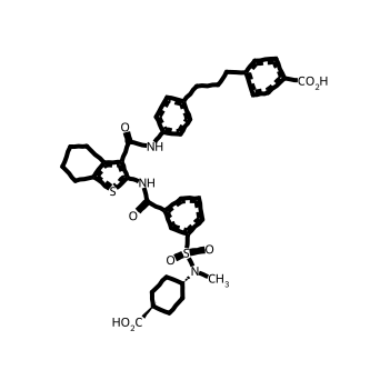 CN([C@H]1CC[C@H](C(=O)O)CC1)S(=O)(=O)c1cccc(C(=O)Nc2sc3c(c2C(=O)Nc2ccc(CCCc4ccc(C(=O)O)cc4)cc2)CCCC3)c1